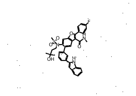 CNC(=O)c1c(-c2ccc(F)cc2)oc2cc(N(CCC(C)(C)O)S(C)(=O)=O)c(-c3cccc(-c4cc5ccccc5[nH]4)c3)cc12